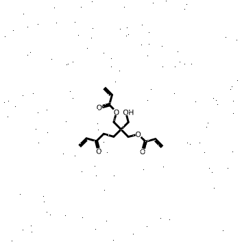 C=CC(=O)CCC(CO)(COC(=O)C=C)COC(=O)C=C